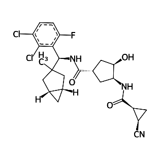 CC1([C@H](NC(=O)[C@@H]2C[C@@H](O)[C@@H](NC(=O)[C@H]3C[C@H]3C#N)C2)c2c(F)ccc(Cl)c2Cl)C[C@H]2C[C@H]2C1